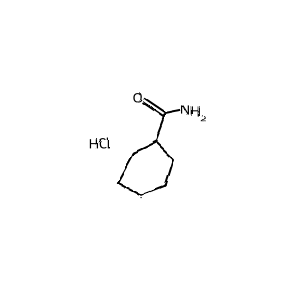 Cl.NC(=O)C1CC[CH]CC1